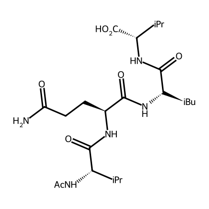 CC[C@H](C)[C@H](NC(=O)[C@H](CCC(N)=O)NC(=O)[C@@H](NC(C)=O)C(C)C)C(=O)N[C@H](C(=O)O)C(C)C